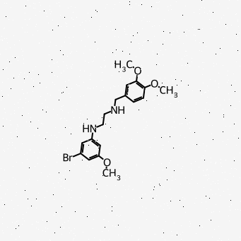 COc1cc(Br)cc(NCCNCc2ccc(OC)c(OC)c2)c1